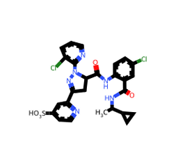 CC(NC(=O)c1cc(Cl)ccc1NC(=O)C1CC(c2cc(S(=O)(=O)O)ccn2)=NN1c1ncccc1Cl)C1CC1